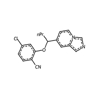 CCCC(Oc1cc(Cl)ccc1C#N)c1ccn2cncc2c1